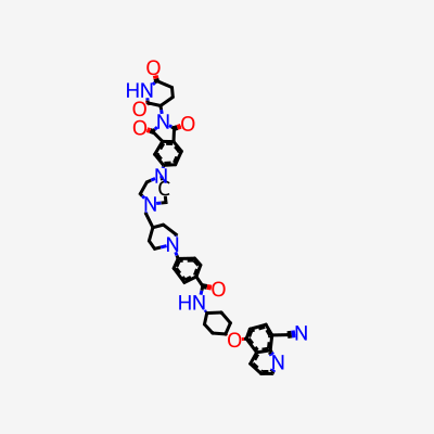 N#Cc1ccc(O[C@H]2CC[C@H](NC(=O)c3ccc(N4CCC(CN5CCN(c6ccc7c(c6)C(=O)N(C6CCC(=O)NC6=O)C7=O)CC5)CC4)cc3)CC2)c2cccnc12